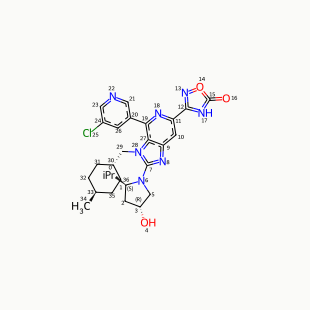 CC(C)[C@@H]1C[C@@H](O)CN1c1nc2cc(-c3noc(=O)[nH]3)nc(-c3cncc(Cl)c3)c2n1C[C@H]1CC[C@H](C)CC1